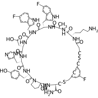 C[C@H]1NC(=O)[C@H](CCCCN)NC(=O)CCSCc2cc(F)cc(c2)CSC[C@@H](C(N)=O)NC(=O)[C@]2(C)CCCN2C(=O)[C@H](Cc2ccc(O)cc2)NC(=O)[C@H](Cc2cnc[nH]2)NC(=O)[C@H](CC(=O)O)NC(=O)[C@H](Cc2c[nH]c3ccc(F)cc23)NC(=O)[C@H](Cc2c[nH]c3ccc(F)cc23)NC1=O